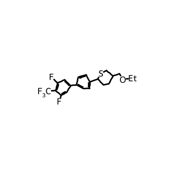 CCOCC1CCC(c2ccc(-c3cc(F)c(C(F)(F)F)c(F)c3)cc2)SC1